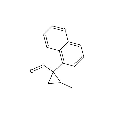 CC1CC1(C=O)c1cccc2ncccc12